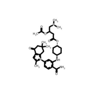 CC(=O)OC(CC(=O)O[C@H]1CC[C@H](Nc2cc(-n3c(C)cc4c3CC(C)(C)CC4=O)ccc2C(N)=O)CC1)CN(C)C